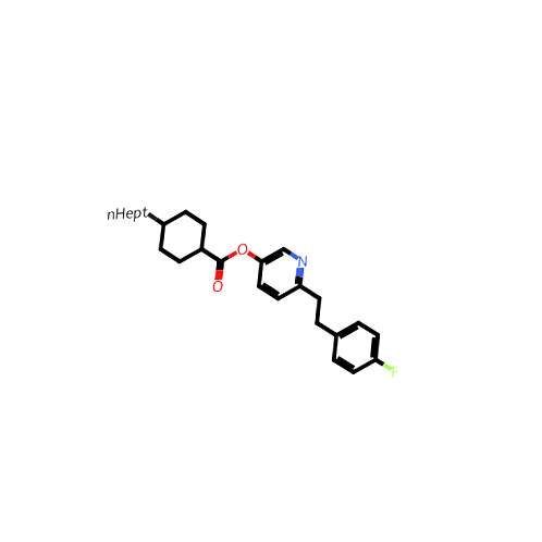 CCCCCCCC1CCC(C(=O)Oc2ccc(CCc3ccc(F)cc3)nc2)CC1